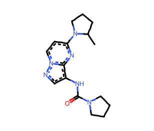 CC1CCCN1c1ccn2ncc(NC(=O)N3CCCC3)c2n1